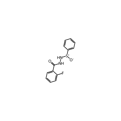 O=C(NN[S+]([O-])c1ccccc1)c1ccccc1F